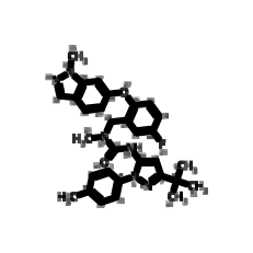 Cc1ccc(-n2nc(C(C)(C)C)cc2NC(=O)N(C)Cc2cc(F)ccc2Oc2ccc3cnn(C)c3c2)cc1